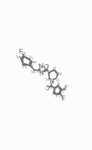 O=C(c1ccc(F)c(F)c1)N1CCC[C@H](c2nc(Cc3ccc(F)cc3)no2)C1